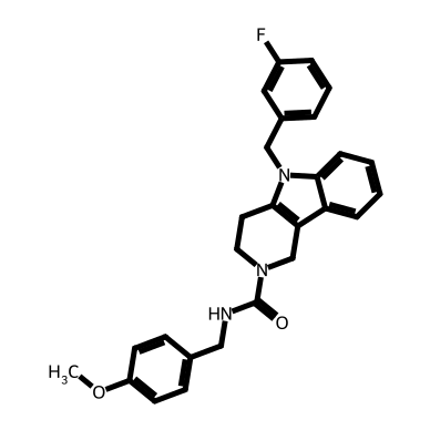 COc1ccc(CNC(=O)N2CCc3c(c4ccccc4n3Cc3cccc(F)c3)C2)cc1